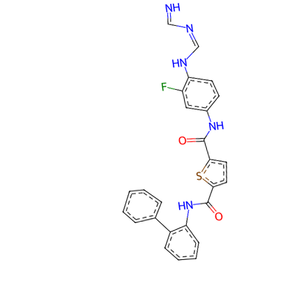 N=C/N=C\Nc1ccc(NC(=O)c2ccc(C(=O)Nc3ccccc3-c3ccccc3)s2)cc1F